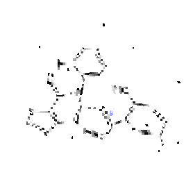 Cc1ccc(C#N)c(/C(O)=C/c2nc3ccsc3c(=O)n2-c2ccccc2F)c1